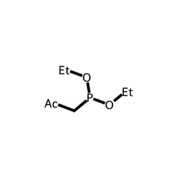 CCOP(CC(C)=O)OCC